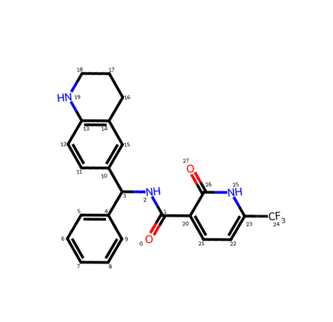 O=C(NC(c1ccccc1)c1ccc2c(c1)CCCN2)c1ccc(C(F)(F)F)[nH]c1=O